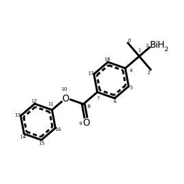 C[C](C)([BiH2])c1ccc(C(=O)Oc2ccccc2)cc1